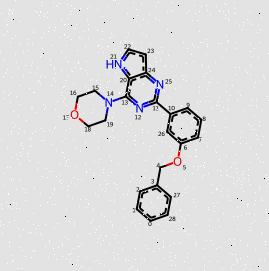 c1ccc(COc2cccc(-c3nc(N4CCOCC4)c4[nH]ccc4n3)c2)cc1